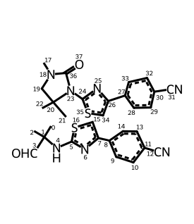 CC(C)(C=O)Nc1nc(-c2ccc(C#N)cc2)cs1.CN1CC(C)(C)N(c2nc(-c3ccc(C#N)cc3)cs2)C1=O